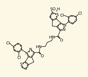 O=C(NCCCNC(=O)c1nn(-c2ccc(Cl)cc2Cl)c2c1Cc1cc(S(=O)(=O)O)sc1-2)c1nn(-c2ccc(Cl)cc2Cl)c2c1Cc1ccsc1-2